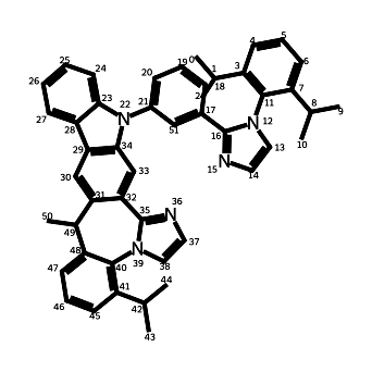 CC(C)c1cccc(C(C)C)c1-n1ccnc1-c1cccc(-n2c3ccccc3c3cc4c(cc32)-c2nccn2-c2c(C(C)C)cccc2C4C)c1